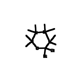 CCC1(CC)O[Si](C)(C)[Si](C)(C)[Si](C)(C)[Si]1(C)C